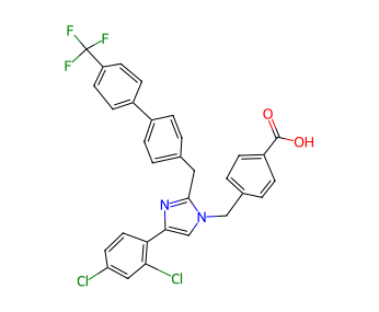 O=C(O)c1ccc(Cn2cc(-c3ccc(Cl)cc3Cl)nc2Cc2ccc(-c3ccc(C(F)(F)F)cc3)cc2)cc1